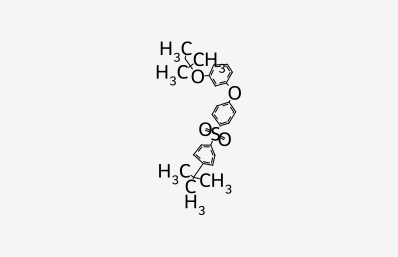 CCC(C)(C)Oc1cccc(Oc2ccc(S(=O)(=O)c3ccc(C(C)(C)C)cc3)cc2)c1